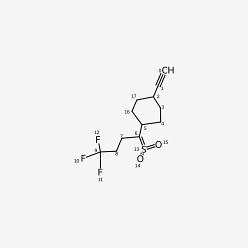 C#CC1CCC(C(CCC(F)(F)F)=S(=O)=O)CC1